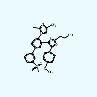 Cc1nc(C(F)(F)F)cn1-c1ccc(-c2cccc(S(C)(=O)=O)c2)cc1-c1nc(CCO)oc1-c1ccc(OC(F)(F)F)cc1